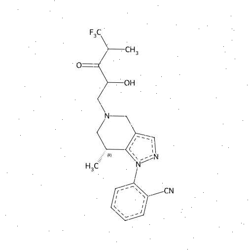 CC(C(=O)C(O)CN1Cc2cnn(-c3ccccc3C#N)c2[C@H](C)C1)C(F)(F)F